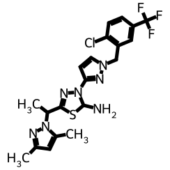 Cc1cc(C)n(C(C)C2=NN(c3ccn(Cc4cc(C(F)(F)F)ccc4Cl)n3)C(N)S2)n1